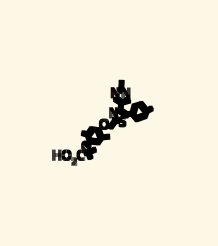 Cc1ccc(-c2sc(COc3cc(C)c(OC(C)(C)C(=O)O)cc3C)nc2-c2cnc(C)nc2)cc1